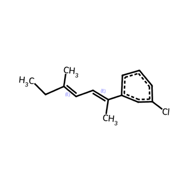 CC/C(C)=C/C=C(\C)c1cccc(Cl)c1